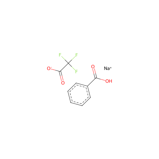 O=C(O)c1ccccc1.O=C([O-])C(F)(F)F.[Na+]